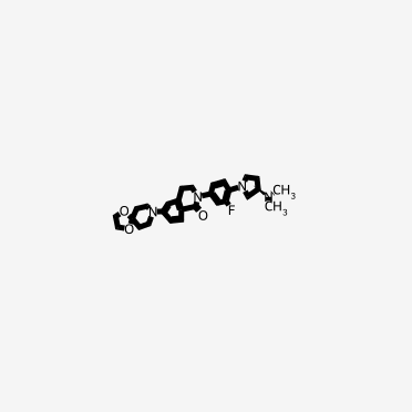 CN(C)[C@@H]1CCN(c2ccc(N3CCc4cc(N5CCC6(CC5)OCCO6)ccc4C3=O)cc2F)C1